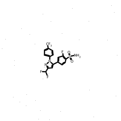 NS(=O)(=O)c1ccc(-c2cc(C(F)F)nn2-c2ccc(C(F)(F)F)cc2)cc1F